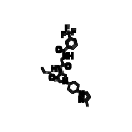 CCCO[C@@H]1CN(C2CCC(n3ccc(C)n3)CC2)C[C@@H]1NC(=O)CNC(=O)c1cccc(C(F)(F)F)c1